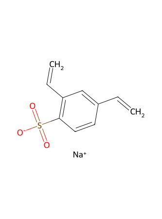 C=Cc1ccc(S(=O)(=O)[O-])c(C=C)c1.[Na+]